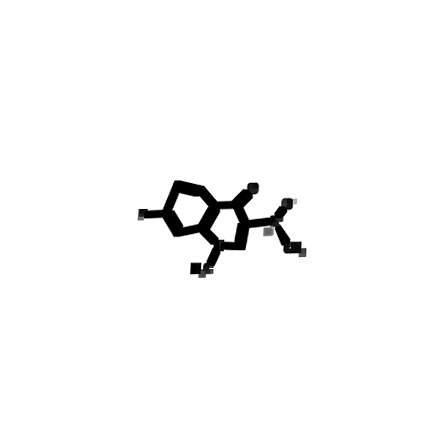 Cn1cc([S@+](C)[O-])c(=O)c2ccc(F)cc21